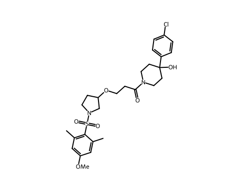 COc1cc(C)c(S(=O)(=O)N2CCC(OCCC(=O)N3CCC(O)(c4ccc(Cl)cc4)CC3)C2)c(C)c1